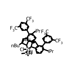 CCCCC1=Cc2c(ccc(C(C)C)c2-c2cc(C(F)(F)F)cc(C(F)(F)F)c2)[CH]1[Zr]([Cl])([Cl])([CH]1C(CCCC)=Cc2c1ccc(C(C)C)c2-c1cc(C(F)(F)F)cc(C(F)(F)F)c1)[SiH](C)C